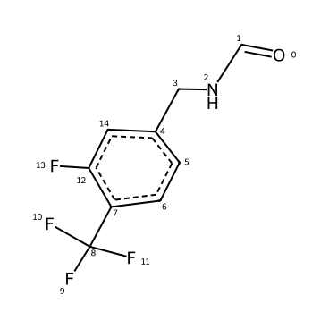 O=CNCc1ccc(C(F)(F)F)c(F)c1